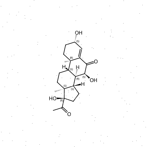 CC(=O)[C@@]1(O)CC[C@H]2[C@@H]3[C@H](O)C(=O)C4=C[C@@H](O)CC[C@]4(C)[C@H]3CC[C@@]21C